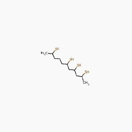 CC(S)CCCC(S)CC(S)CC(C)S